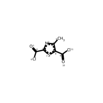 Cc1nc(C(=O)Cl)sc1C(=O)Cl